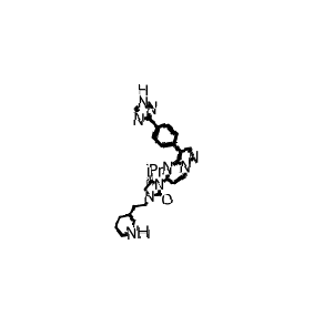 CC(C)[C@H]1CN(CCC2CCCNC2)C(=O)N1c1ccn2ncc(-c3ccc(-c4nc[nH]n4)cc3)c2n1